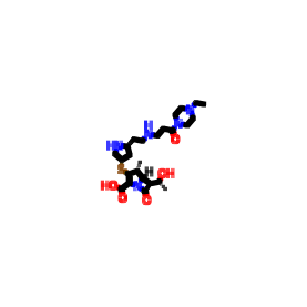 CCN1CCN(C(=O)CCNCC[C@H]2C[C@H](SC3=C(C(=O)O)N4C(=O)[C@H]([C@@H](C)O)[C@H]4[C@H]3C)CN2)CC1